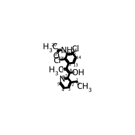 CCc1cccnc1/C(O)=C(\C)c1ccc(Cl)c(NC(C)=O)c1Cl